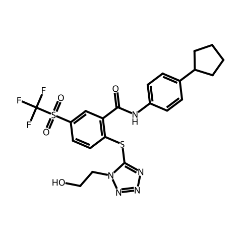 O=C(Nc1ccc(C2CCCC2)cc1)c1cc(S(=O)(=O)C(F)(F)F)ccc1Sc1nnnn1CCO